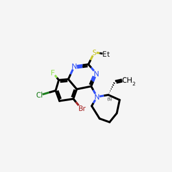 C=C[C@@H]1CCCCCN1c1nc(SCC)nc2c(F)c(Cl)cc(Br)c12